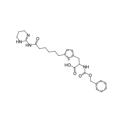 O=C(CCCCCc1ccc(CC(NC(=O)OCc2ccccc2)C(=O)O)s1)NC1=NCCCN1